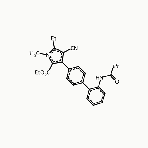 CCOC(=O)c1c(-c2ccc(-c3ccccc3NC(=O)C(C)C)cc2)c(C#N)c(CC)n1C